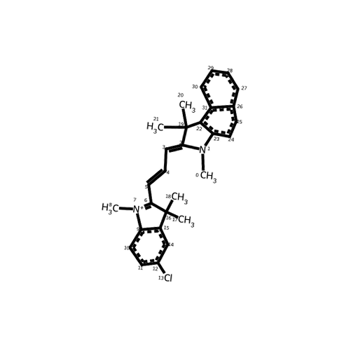 CN1C(=CC=CC2=[N+](C)c3ccc(Cl)cc3C2(C)C)C(C)(C)c2c1ccc1ccccc21